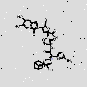 CC1(C)C2CC1CC(O/N=C(\C(=O)N[C@H]1CON(C3(C(=O)O)CC(n4cc5cc(O)c(O)cn5c4=O)C(=O)O3)C1=O)c1csc(N)n1)(C(=O)O)C2